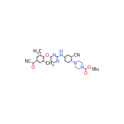 Cc1cc(C(=O)C#N)cc(C)c1Oc1ccnc(Nc2ccc(N3CCN(C(=O)OC(C)(C)C)CC3)c(C#N)c2)n1